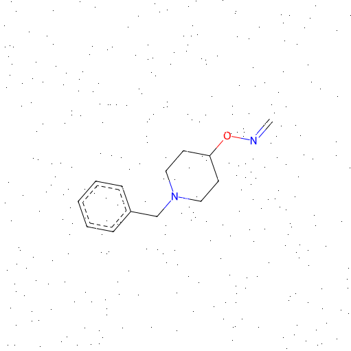 C=NOC1CCN(Cc2ccccc2)CC1